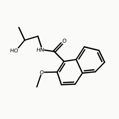 COc1ccc2ccccc2c1C(=O)NCC(C)O